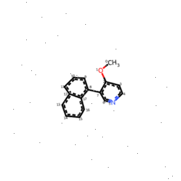 COc1ccn[c]c1-c1cccc2ccccc12